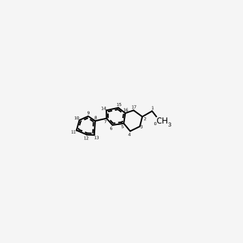 CCC1CCc2cc(-c3ccccc3)ccc2C1